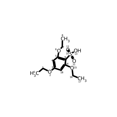 CCOc1cc(OCC)c(S(=O)(=O)O)c(OCC)c1